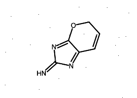 N=C1N=C2C=CCOC2=N1